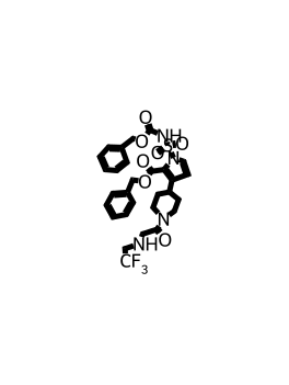 O=C(NS(=O)(=O)n1ccc(C2CCN(C(=O)CNCC(F)(F)F)CC2)c1C(=O)OCc1ccccc1)OCc1ccccc1